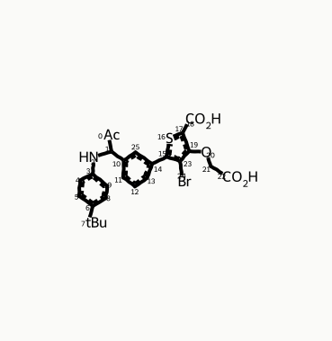 CC(=O)C(Nc1ccc(C(C)(C)C)cc1)c1cccc(-c2sc(C(=O)O)c(OCC(=O)O)c2Br)c1